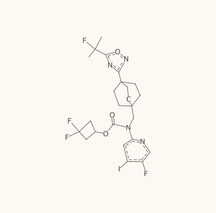 CC(C)(F)c1nc(C23CCC(CN(C(=O)OC4CC(F)(F)C4)c4cc(I)c(F)cn4)(CC2)CC3)no1